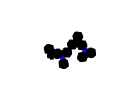 CC1(C)C2=C(CCC=C2)c2cc3c4cc(-c5ccc6c7ccccc7c7ccc(-n8c9ccccc9c9ccccc98)cc7c6c5)ccc4n(-c4ccccc4)c3cc21